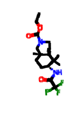 CCOC(=O)N1CC=C2C(C)(C)[C@H](NC(=O)C(F)(F)F)CC[C@]2(C)C1